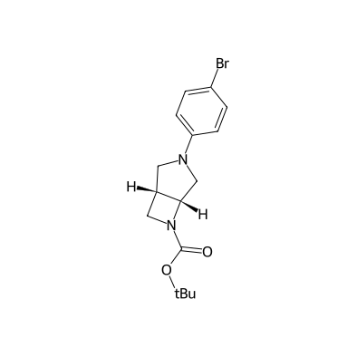 CC(C)(C)OC(=O)N1C[C@@H]2CN(c3ccc(Br)cc3)C[C@@H]21